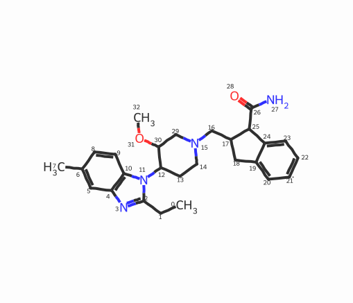 CCc1nc2cc(C)ccc2n1C1CCN(CC2Cc3c[c]ccc3C2C(N)=O)CC1OC